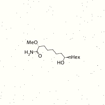 CCCCCC[C@@H](O)CCCCC[C@@H](OC)C(N)=O